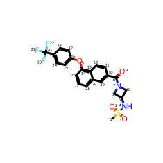 CS(=O)(=O)NC1CN(C(=O)c2ccc3c(Oc4ccc(C(F)(F)F)cc4)cccc3c2)C1